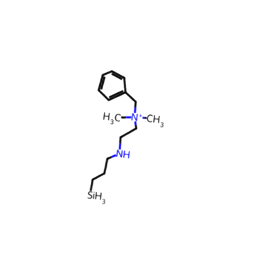 C[N+](C)(CCNCCC[SiH3])Cc1ccccc1